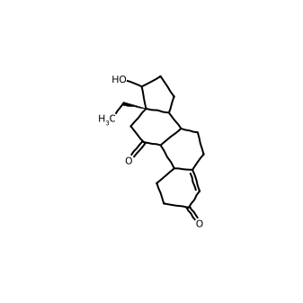 CC[C@]12CC(=O)C3C4CCC(=O)C=C4CCC3C1CCC2O